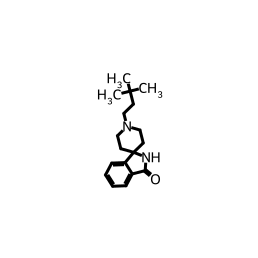 CC(C)(C)CCN1CCC2(CC1)NC(=O)c1ccccc12